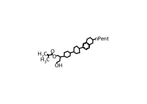 C=C(C)C(=O)OCC(CCO)C1CCC(C2CCC(c3ccc4c(c3)CCC(CCCCC)C4)CC2)CC1